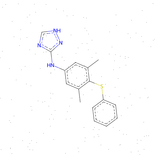 Cc1cc(Nc2nc[nH]n2)cc(C)c1Sc1ccccc1